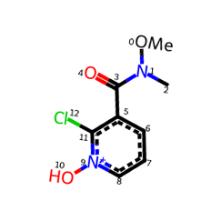 CON(C)C(=O)c1ccc[n+](O)c1Cl